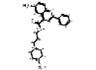 Cc1ccc2nc(-c3ccccc3)cc(C(=O)NCCCN3CCN(C)CC3)c2c1